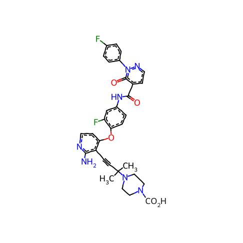 CC(C)(C#Cc1c(Oc2ccc(NC(=O)c3ccnn(-c4ccc(F)cc4)c3=O)cc2F)ccnc1N)N1CCN(C(=O)O)CC1